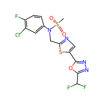 CS(=O)(=O)N(Cc1ncc(-c2nnc(C(F)F)o2)s1)c1ccc(F)c(Cl)c1